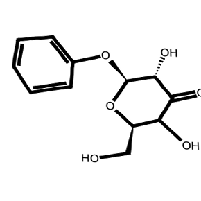 O=C1C(O)[C@@H](CO)O[C@@H](Oc2ccccc2)[C@@H]1O